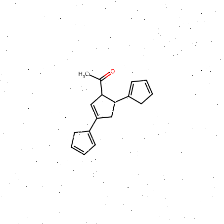 CC(=O)C1C=C(C2=CC=CC2)CC1C1=CC=CC1